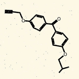 C#CCOc1ccc(C(=O)c2ccc(OCC(C)C)cc2)cc1